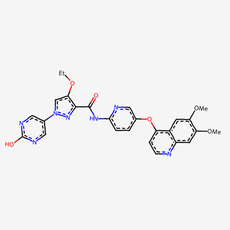 CCOc1cn(-c2cnc(O)nc2)nc1C(=O)Nc1ccc(Oc2ccnc3cc(OC)c(OC)cc23)cn1